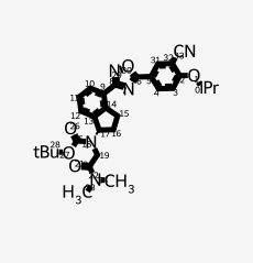 CC(C)Oc1ccc(-c2nc(-c3cccc4c3CC[C@@H]4N(CC(=O)N(C)C)C(=O)OC(C)(C)C)no2)cc1C#N